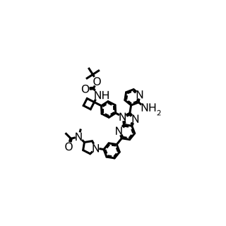 CC(=O)N(C)C1CCN(c2cccc(-c3ccc4nc(-c5cccnc5N)n(-c5ccc(C6(NC(=O)OC(C)(C)C)CCC6)cc5)c4n3)c2)C1